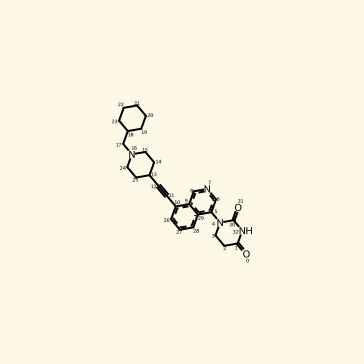 O=C1CCN(c2cncc3c(C#CC4CCN(CC5CCCCC5)CC4)cccc23)C(=O)N1